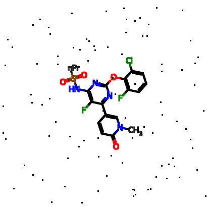 CCCS(=O)(=O)Nc1nc(Oc2c(F)cccc2Cl)nc(-c2ccc(=O)n(C)c2)c1F